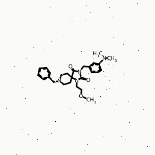 COCCN1C(=O)N(Cc2cccc(N(C)C)c2)C(=O)C12CCN(Cc1ccccc1)CC2